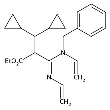 C=C/N=C(/C(C(=O)OCC)C(C1CC1)C1CC1)N(C=C)Cc1ccccc1